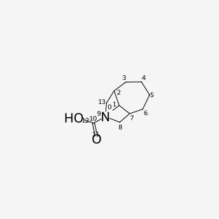 CC1C2CCCCC1CN(C(=O)O)C2